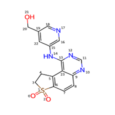 O=S1(=O)CCc2c1ccc1ncnc(Nc3cncc(CO)c3)c21